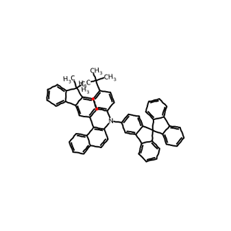 CC(C)(C)c1ccc(N(c2ccc3c(c2)-c2ccccc2C32c3ccccc3-c3ccccc32)c2ccc3ccccc3c2-c2ccc3c(c2)-c2ccccc2C3(C)C)cc1